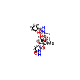 CO[C@@]1(C)[C@H](O)[C@@H](COP(=O)(N[C@@H](C)C(=O)OC(C)C)Oc2ccccc2)O[C@H]1n1ccc(=O)[nH]c1=O